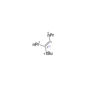 CCC/C=C(\CCC)C(C)(C)C